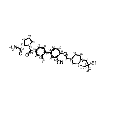 CCC(F)(CC)CN1CCC(COc2ccc(-c3ccc(C(=O)N4CCC[C@H]4C(N)=O)cc3F)cc2C#N)CC1